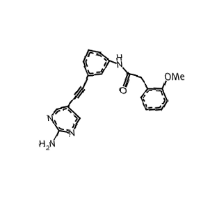 COc1ccccc1CC(=O)Nc1cccc(C#Cc2cnc(N)nc2)c1